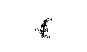 CC(C)(C)OC(=O)CCC(NC(=O)Nc1ncnc2c1ncn2C1CCC(CO)O1)C(=O)OC(C)(C)C